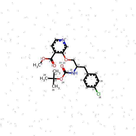 COC(=O)c1ccncc1OCC(Cc1ccc(Cl)cc1)NC(=O)OC(C)(C)C